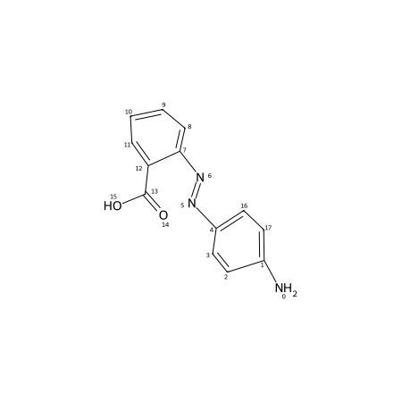 Nc1ccc(N=Nc2ccccc2C(=O)O)cc1